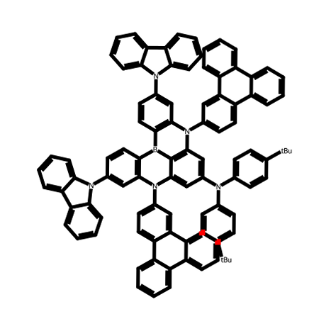 CC(C)(C)c1ccc(N(c2ccc(C(C)(C)C)cc2)c2cc3c4c(c2)N(c2ccc5c6ccccc6c6ccccc6c5c2)c2cc(-n5c6ccccc6c6ccccc65)ccc2B4c2ccc(-n4c5ccccc5c5ccccc54)cc2N3c2ccc3c4ccccc4c4ccccc4c3c2)cc1